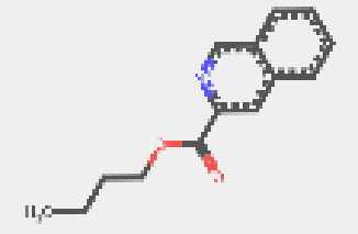 CCCCOC(=O)c1cc2ccccc2cn1